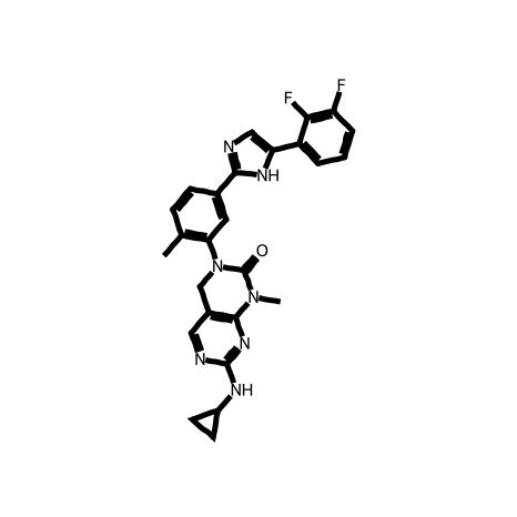 Cc1ccc(-c2ncc(-c3cccc(F)c3F)[nH]2)cc1N1Cc2cnc(NC3CC3)nc2N(C)C1=O